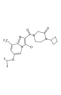 O=C(c1nc2c(C(F)(F)F)cc(OC(F)F)cn2c1Cl)N1CCN(C2CCC2)C(=O)C1